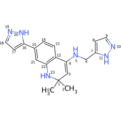 CC1(C)C=C(NCc2ccn[nH]2)c2ccc(-c3ccn[nH]3)cc2N1